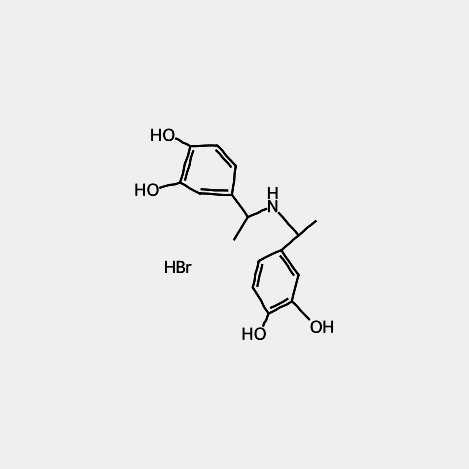 Br.CC(NC(C)c1ccc(O)c(O)c1)c1ccc(O)c(O)c1